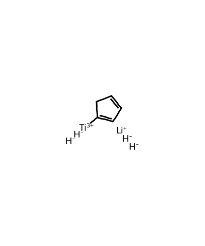 [H-].[H-].[H-].[H-].[Li+].[Ti+3][C]1=CC=CC1